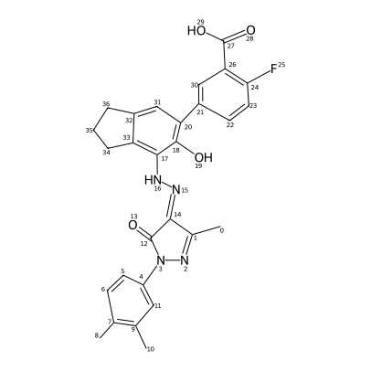 CC1=NN(c2ccc(C)c(C)c2)C(=O)/C1=N\Nc1c(O)c(-c2ccc(F)c(C(=O)O)c2)cc2c1CCC2